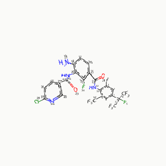 Cc1cc(C(F)(C(F)(F)F)C(F)(F)F)cc(C(F)(F)F)c1NC(=O)c1ccc(N)c(NC(=O)c2ccc(Cl)nc2)c1F